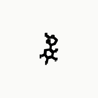 Fc1cc(C2CCO[PH](=S)O2)c(F)c(F)c1F